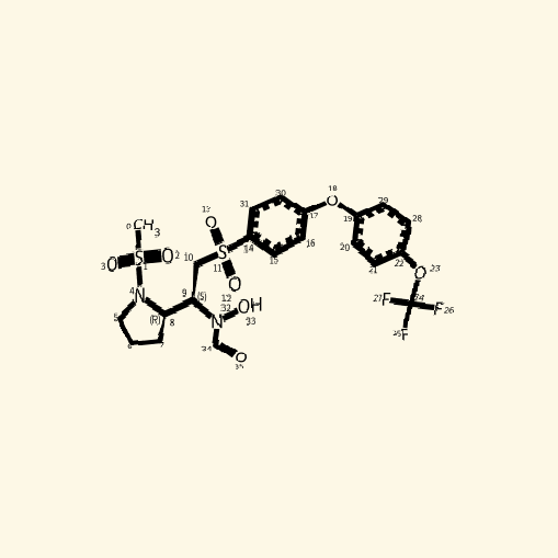 CS(=O)(=O)N1CCC[C@@H]1[C@@H](CS(=O)(=O)c1ccc(Oc2ccc(OC(F)(F)F)cc2)cc1)N(O)C=O